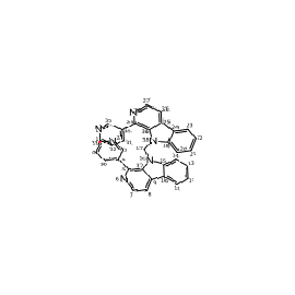 c1cncc(-c2nccc3c4ccccc4n(Cn4c5ccccc5c5ccnc(-c6cccnc6)c54)c23)c1